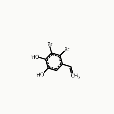 C=Cc1cc(O)c(O)c(Br)c1Br